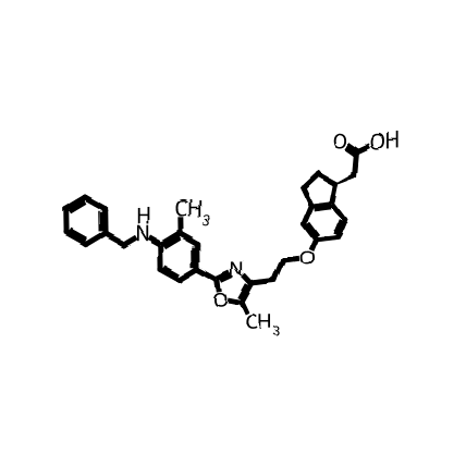 Cc1cc(-c2nc(CCOc3ccc4c(c3)CC[C@H]4CC(=O)O)c(C)o2)ccc1NCc1ccccc1